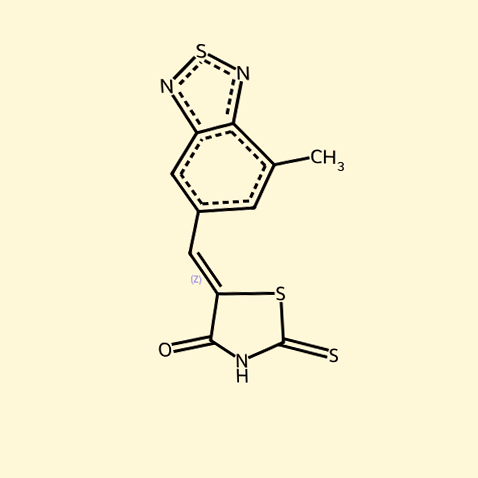 Cc1cc(/C=C2\SC(=S)NC2=O)cc2nsnc12